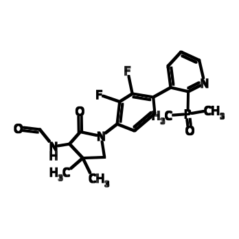 CC1(C)CN(c2ccc(-c3cccnc3P(C)(C)=O)c(F)c2F)C(=O)C1NC=O